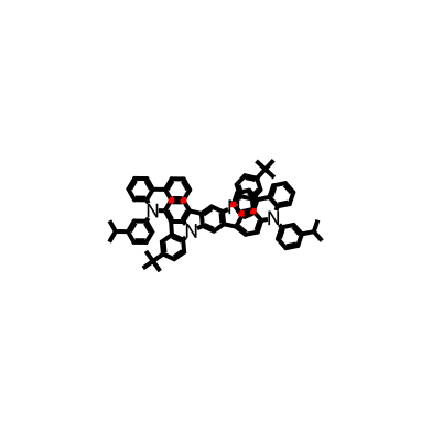 CC(C)c1cccc(N(c2ccccc2-c2ccccc2)c2ccc3c4cc5c(cc4n4c6ccc(C(C)(C)C)cc6c2c34)c2ccc(N(c3cccc(C(C)C)c3)c3ccccc3-c3ccccc3)c3c4cc(C(C)(C)C)ccc4n5c23)c1